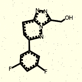 OCc1nnc2ccc(-c3cc(F)cc(F)c3)nn12